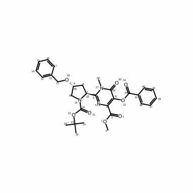 COC(=O)c1nc([C@@H]2C[C@@H](OCc3ccccc3)CN2C(=O)OC(C)(C)C)n(C)c(=O)c1OC(=O)c1ccccc1